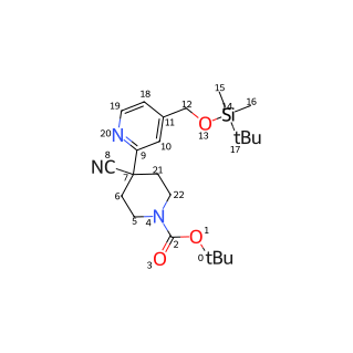 CC(C)(C)OC(=O)N1CCC(C#N)(c2cc(CO[Si](C)(C)C(C)(C)C)ccn2)CC1